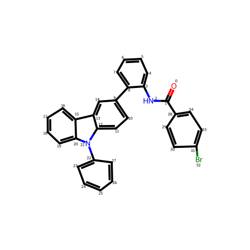 O=C(Nc1ccccc1-c1ccc2c(c1)c1ccccc1n2-c1ccccc1)c1ccc(Br)cc1